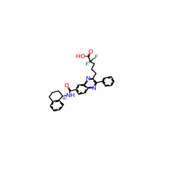 O=C(N[C@@H]1CCCc2ccccc21)c1ccc2nc(-c3ccccc3)c(CCCC(F)(F)C(=O)O)nc2c1